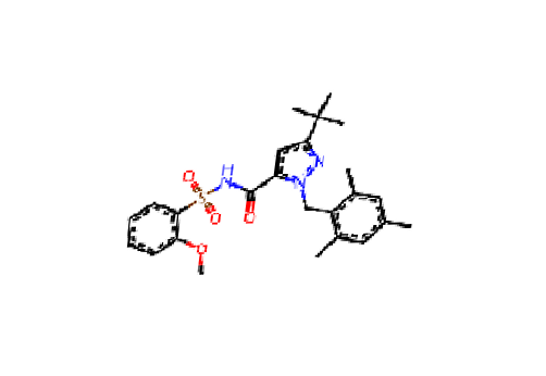 COc1ccccc1S(=O)(=O)NC(=O)c1cc(C(C)(C)C)nn1Cc1c(C)cc(C)cc1C